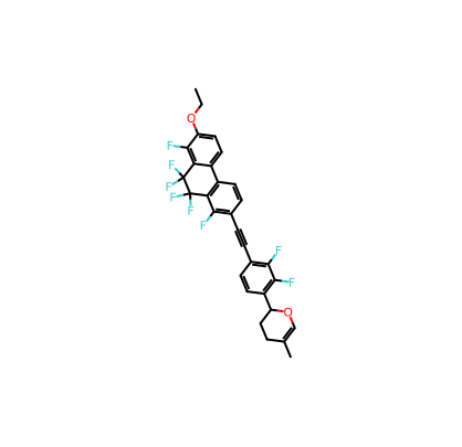 CCOc1ccc2c(c1F)C(F)(F)C(F)(F)c1c-2ccc(C#Cc2ccc(C3CCC(C)=CO3)c(F)c2F)c1F